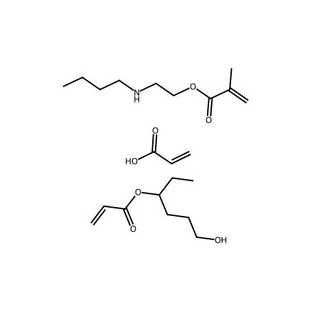 C=C(C)C(=O)OCCNCCCC.C=CC(=O)O.C=CC(=O)OC(CC)CCCO